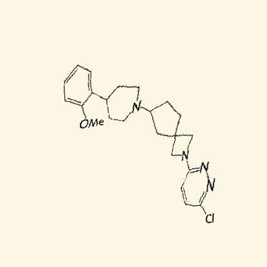 COc1ccccc1C1CCN(C2CCC3(C2)CN(c2ccc(Cl)nn2)C3)CC1